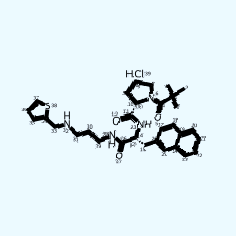 CC(C)(C)C(=O)N1CCC[C@H]1C(=O)N[C@H](Cc1ccc2ccccc2c1)C(=O)NCCCNCc1cccs1.Cl